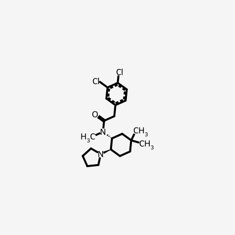 CN(C(=O)Cc1ccc(Cl)c(Cl)c1)[C@@H]1CC(C)(C)CC[C@H]1N1CCCC1